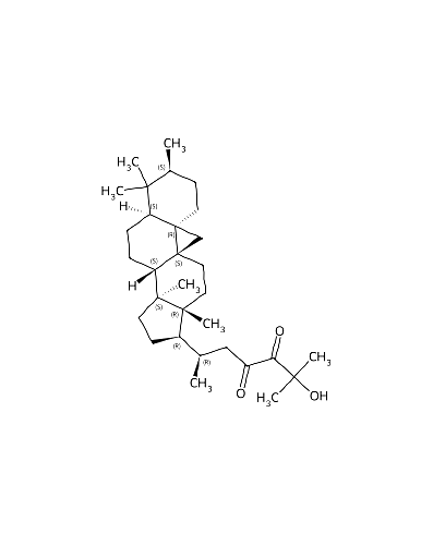 C[C@H](CC(=O)C(=O)C(C)(C)O)[C@H]1CC[C@@]2(C)[C@@H]3CC[C@H]4C(C)(C)[C@@H](C)CC[C@@]45C[C@@]35CC[C@]12C